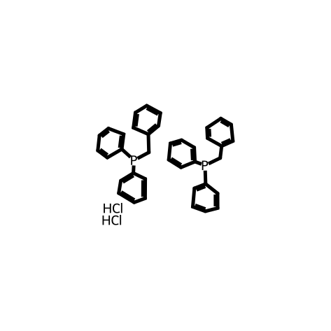 Cl.Cl.c1ccc(CP(c2ccccc2)c2ccccc2)cc1.c1ccc(CP(c2ccccc2)c2ccccc2)cc1